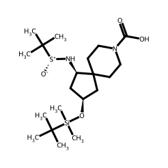 CC(C)(C)[S@@+]([O-])N[C@@H]1C[C@H](O[Si](C)(C)C(C)(C)C)CC12CCN(C(=O)O)CC2